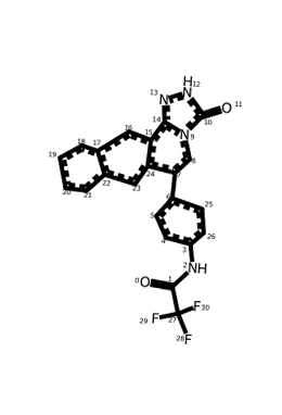 O=C(Nc1ccc(-c2cn3c(=O)[nH]nc3c3cc4ccccc4cc23)cc1)C(F)(F)F